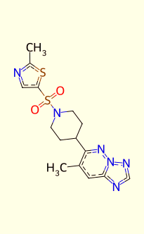 Cc1ncc(S(=O)(=O)N2CCC(c3nn4ncnc4cc3C)CC2)s1